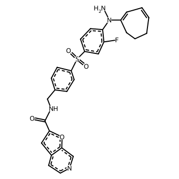 NN(C1=CC=CCCC1)c1ccc(S(=O)(=O)c2ccc(CNC(=O)c3cc4ccncc4o3)cc2)cc1F